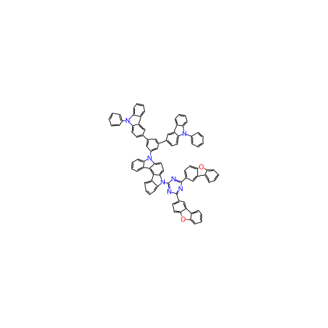 c1ccc(-n2c3ccccc3c3cc(-c4cc(-c5ccc6c(c5)c5ccccc5n6-c5ccccc5)cc(-n5c6ccccc6c6c7c8ccccc8n(-c8nc(-c9ccc%10oc%11ccccc%11c%10c9)nc(-c9ccc%10oc%11ccccc%11c%10c9)n8)c7ccc65)c4)ccc32)cc1